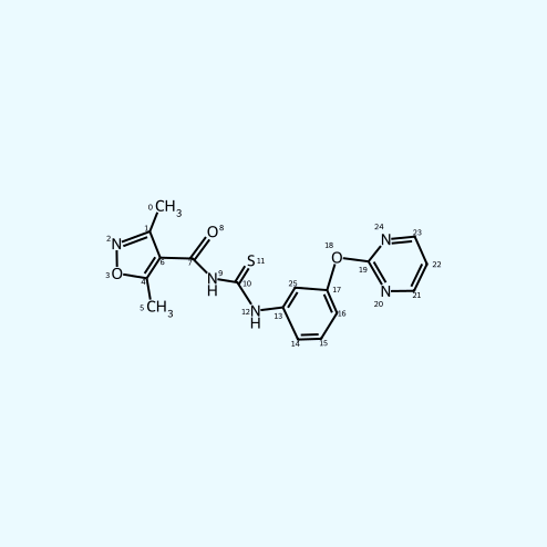 Cc1noc(C)c1C(=O)NC(=S)Nc1cccc(Oc2ncccn2)c1